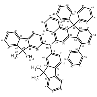 CC1(C)c2ccccc2-c2ccc(N(c3ccc4c(c3)C(C)(C)c3ccccc3-4)c3cc4c(c5ccccc35)C(c3ccccc3)(c3ccccc3)c3cccc(-c5ccccc5)c3-4)cc21